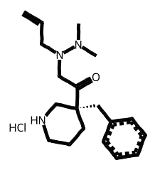 C=CCN(CC(=O)[C@@]1(Cc2ccccc2)CCCNC1)N(C)C.Cl